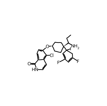 CCC(N)[C@]1(C2(I)C=C(F)C=C(F)C2)CC[C@H](Oc2ccc3c(=O)[nH]ccc3c2Cl)CC1